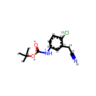 CC(C)(C)OC(=O)Nc1ccc(Cl)c(CC#N)c1